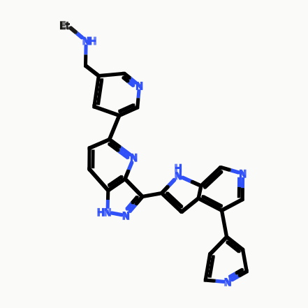 CCNCc1cncc(-c2ccc3[nH]nc(-c4cc5c(-c6ccncc6)cncc5[nH]4)c3n2)c1